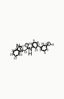 COc1cccc(-c2cccc(NC(=O)Cn3cnc4ccccc43)c2)c1